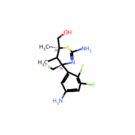 CC1[C@@](C)(CO)SC(N)=N[C@]1(CF)c1cc(N)cc(F)c1F